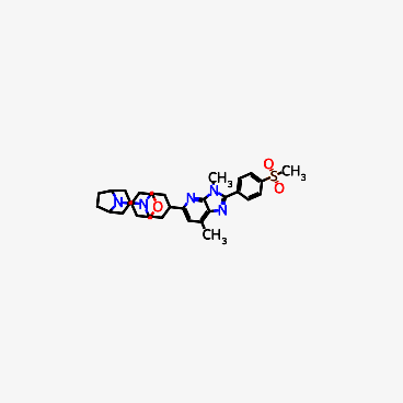 Cc1cc(C2CCN(C3CC4CCC(C3)N4C3CCOCC3)CC2)nc2c1nc(-c1ccc(S(C)(=O)=O)cc1)n2C